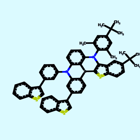 Cc1cc(C(C)(C)C)cc(C)c1N1c2cccc3c2B(c2ccc(-c4csc5ccccc45)cc2N3c2cccc(-c3csc4ccccc34)c2)c2sc3ccc(C(C)(C)C)cc3c21